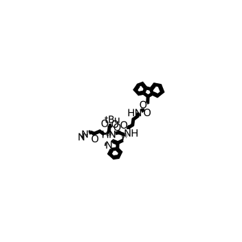 Cn1cc(C[C@H](NC(=O)CCCNC(=O)OCC2c3ccccc3-c3ccccc32)C(=O)N[C@@H](CCC(=O)C=[N+]=[N-])C(=O)OC(C)(C)C)c2ccccc21